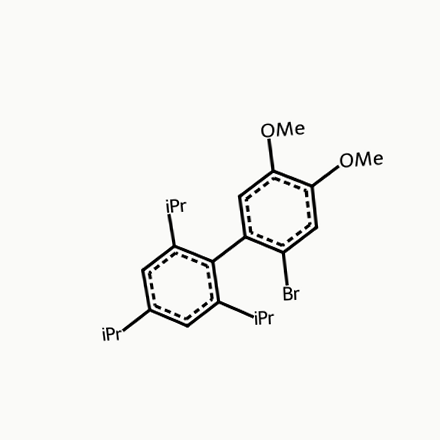 COc1cc(Br)c(-c2c(C(C)C)cc(C(C)C)cc2C(C)C)cc1OC